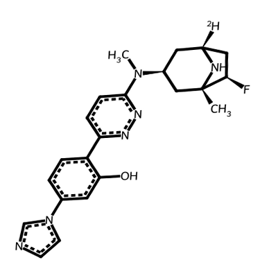 [2H][C@]12C[C@H](N(C)c3ccc(-c4ccc(-n5ccnc5)cc4O)nn3)C[C@](C)(N1)[C@H](F)C2